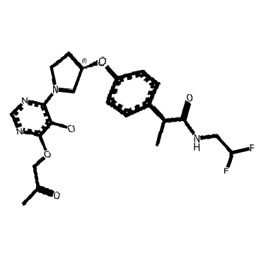 CC(=O)COc1ncnc(N2CC[C@@H](Oc3ccc(C(C)C(=O)NCC(F)F)cc3)C2)c1Cl